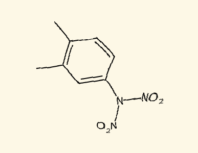 Cc1ccc(N([N+](=O)[O-])[N+](=O)[O-])cc1C